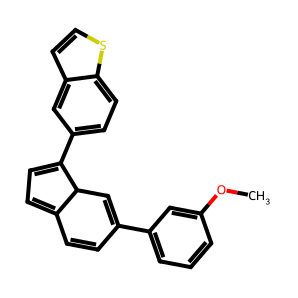 COc1cccc(C2=CC3C(=CC=C3c3ccc4sccc4c3)C=C2)c1